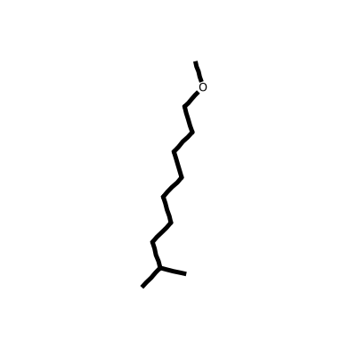 COCCCCCCC[C](C)C